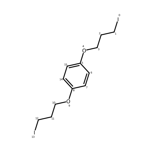 ICCCOc1ccc(OCCCI)cc1